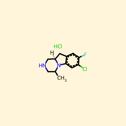 CC1CNC[C@H]2Cc3cc(F)c(Cl)cc3N12.Cl